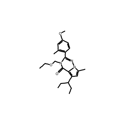 CCOCn1c(-c2ccc(OC)cc2C)nn2c(C)cc(C(CC)CC)c2c1=O